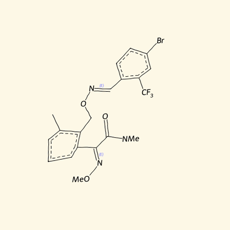 CNC(=O)/C(=N/OC)c1cccc(C)c1CO/N=C/c1ccc(Br)cc1C(F)(F)F